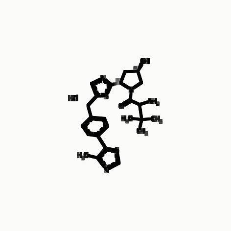 Cc1ncsc1-c1ccc(Cc2cnc([C@@H]3C[C@@H](O)CN3C(=O)C(N)C(C)(C)C)s2)cc1.Cl